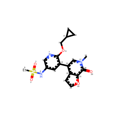 CCS(=O)(=O)Nc1cnc(OCC2CC2)c(-c2cn(C)c(=O)c3occc23)c1